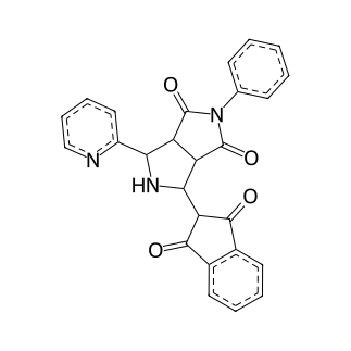 O=C1c2ccccc2C(=O)C1C1NC(c2ccccn2)C2C(=O)N(c3ccccc3)C(=O)C12